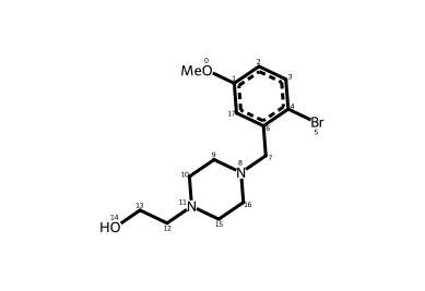 COc1ccc(Br)c(CN2CCN(CCO)CC2)c1